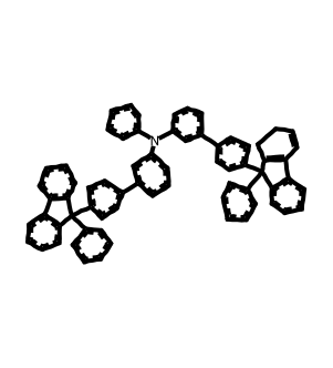 C1=CC2=C(CC1)C(c1ccccc1)(c1ccc(-c3cccc(N(c4ccccc4)c4cccc(-c5ccc(C6(c7ccccc7)c7ccccc7-c7ccccc76)cc5)c4)c3)cc1)c1ccccc12